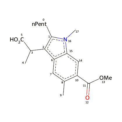 CCCCCc1c(C(C)C(=O)O)c2cc(C)c(C(=O)OC)cc2n1C